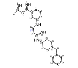 CC(=N)OC(=N)c1cccc(N/C=C\C(=N)NC2CCN(Cc3ccccc3)CC2)c1